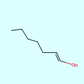 CCCCC/C=C/O